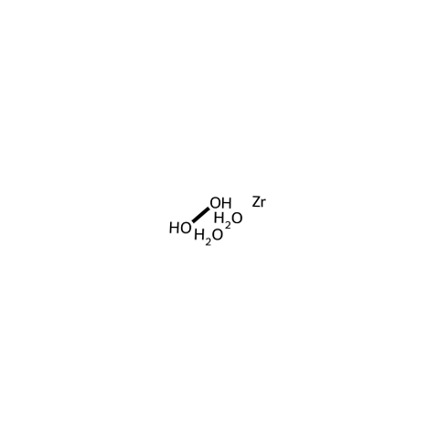 O.O.OO.[Zr]